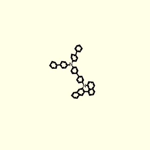 c1ccc(-c2ccc(N(c3ccc(-c4ccccc4)cc3)c3ccc(-c4ccc(N5c6cc7ccccc7cc6-c6cccc7cccc5c67)cc4)cc3)cc2)cc1